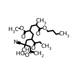 C=C(CC(C)(C#N)CC(CC(CC(C)C(=O)OCCCC)C(=O)OC)C(=O)CC)OO